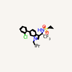 CC(C)Cn1cc([C@H](NS(=O)(=O)C2CC2)C(F)(F)F)c2ccc(-c3ccccc3Cl)cc21